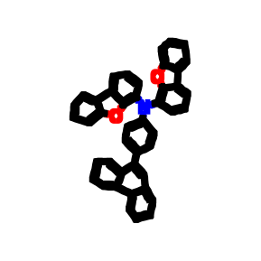 c1ccc2c(c1)cc(-c1ccc(N(c3cccc4c3oc3ccccc34)c3cccc4c3oc3ccccc34)cc1)c1ccccc12